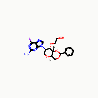 Nc1nc(I)c2ncn([C@@H]3CO[C@@H]4COC(c5ccccc5)O[C@H]4[C@H]3OCCO)c2n1